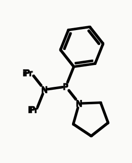 CC(C)N(C(C)C)P(c1ccccc1)N1CCCC1